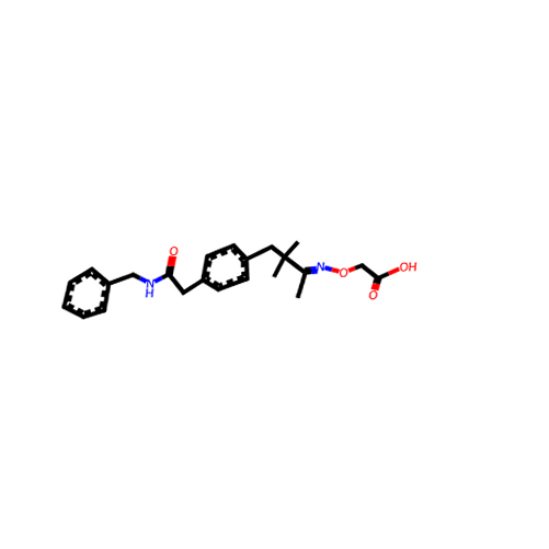 C/C(=N\OCC(=O)O)C(C)(C)Cc1ccc(CC(=O)NCc2ccccc2)cc1